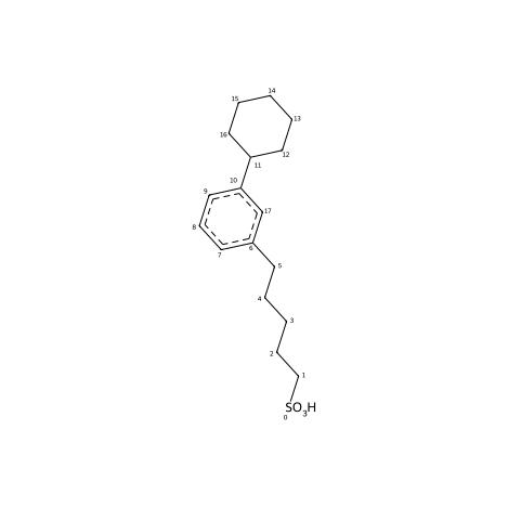 O=S(=O)(O)CCCCCc1cccc(C2CCCCC2)c1